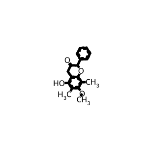 COc1c(C)c(O)c2c(c1C)OC(c1ccccc1)C(=O)C2